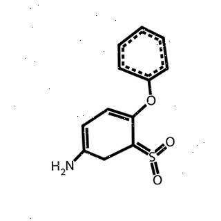 NC1=CC=C(Oc2ccccc2)C(=S(=O)=O)C1